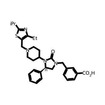 CCc1nc(C(C)C)sc1CN1CCC(N2C(=O)N(Cc3cccc(C(=O)O)c3)C[C@H]2c2ccccc2)CC1